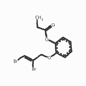 CCC(=O)Oc1ccccc1OCC(Br)=CBr